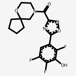 O=C(c1noc(-c2cc(F)c(F)c(O)c2F)n1)N1CCOC2(CCCC2)C1